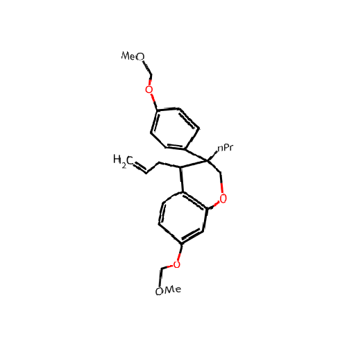 C=CCC1c2ccc(OCOC)cc2OCC1(CCC)c1ccc(OCOC)cc1